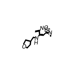 C=C(/C(=C\C(Br)=N/C)NCC1CCOCC1)[N+](=O)[O-]